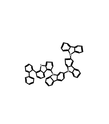 c1ccc(-c2ccccc2-c2cccc3c2sc2cccc(-n4c5ccccc5c5ccc(-n6c7ccccc7c7cc(-n8c9ccccc9c9ccccc98)ccc76)cc54)c23)cc1